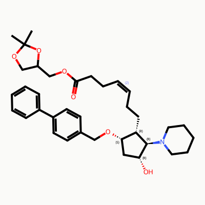 CC1(C)OCC(COC(=O)CC/C=C\CC[C@@H]2[C@@H](N3CCCCC3)[C@H](O)C[C@@H]2OCc2ccc(-c3ccccc3)cc2)O1